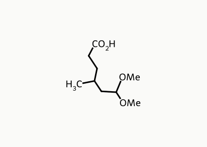 COC(CC(C)CCC(=O)O)OC